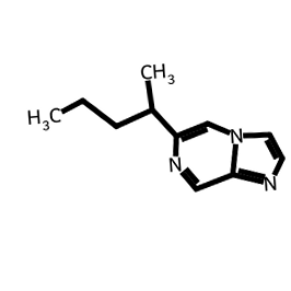 CCCC(C)c1cn2ccnc2cn1